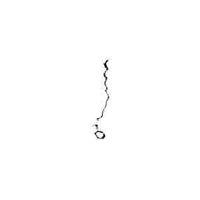 CCCCCCCCCCCCCCON(c1ccccc1)[SiH](C)C